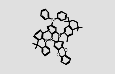 Cc1cc2c(cc1N1c3cc4c(cc3B3c5c(cc(N(c6ccccc6)c6ccccc6)cc51)-c1cccc5c1N3c1ccccc1C5(C)C)Oc1ccccc1O4)C(C)(C)CCC2(C)C